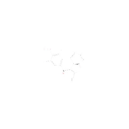 CCc1oc2cc(F)ccc2c1C(=O)c1cc(I)c(O)c(I)c1